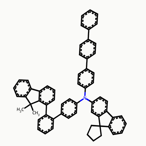 CC1(C)c2ccccc2-c2cccc(-c3ccccc3-c3ccc(N(c4ccc(-c5ccc(-c6ccccc6)cc5)cc4)c4ccc5c(c4)C4(CCCC4)c4ccccc4-5)cc3)c21